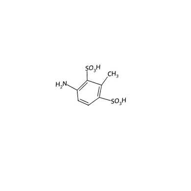 Cc1c(S(=O)(=O)O)ccc(N)c1S(=O)(=O)O